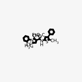 CCOC(=O)c1c(NC(=O)c2cc(C)n(-c3ccccc3C(F)(F)F)c2C)sc(C)c1-c1ccccc1